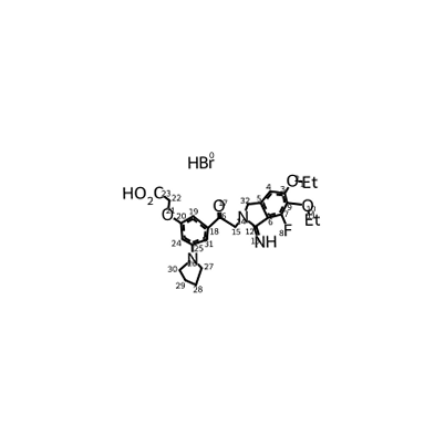 Br.CCOc1cc2c(c(F)c1OCC)C(=N)N(CC(=O)c1cc(OCC(=O)O)cc(N3CCCC3)c1)C2